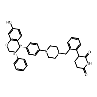 O=C1CCC(c2ccccc2CN2CCN(c3ccc([C@H]4c5ccc(O)cc5OC[C@H]4c4ccccc4)cc3)CC2)C(=O)N1